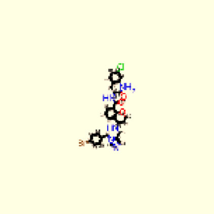 NC(=O)[C@H](Cc1ccc(Cl)cc1)NC(=O)c1cccc2c1OCCC2NCc1cncn1Cc1ccc(Br)cc1